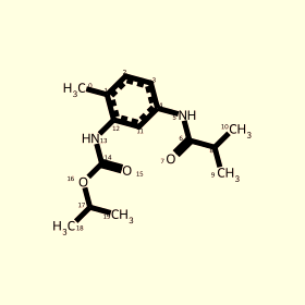 Cc1ccc(NC(=O)C(C)C)cc1NC(=O)OC(C)C